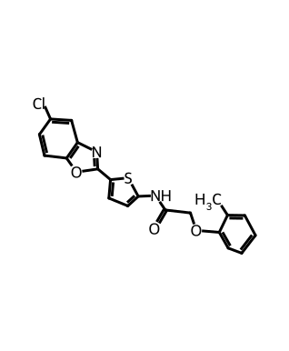 Cc1ccccc1OCC(=O)Nc1ccc(-c2nc3cc(Cl)ccc3o2)s1